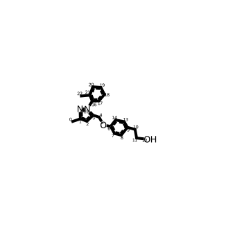 Cc1cc(COc2ccc(CCO)cc2)n(-c2ccccc2C)n1